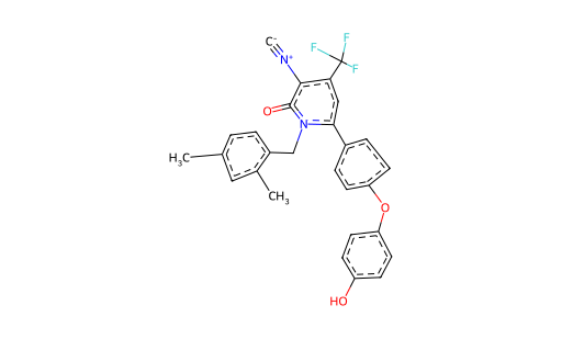 [C-]#[N+]c1c(C(F)(F)F)cc(-c2ccc(Oc3ccc(O)cc3)cc2)n(Cc2ccc(C)cc2C)c1=O